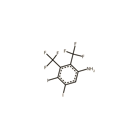 Nc1cc(I)c(I)c(C(F)(F)F)c1C(F)(F)F